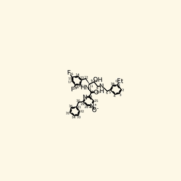 CCc1cccc(CNC[C@@H](O)[C@H](Cc2cc(F)cc(F)c2)NC(=O)c2c[n+]([O-])cc(Cc3ccccc3)n2)c1